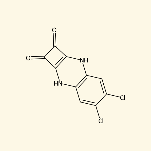 O=c1c2c(c1=O)Nc1cc(Cl)c(Cl)cc1N2